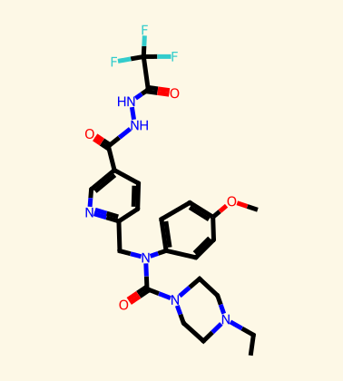 CCN1CCN(C(=O)N(Cc2ccc(C(=O)NNC(=O)C(F)(F)F)cn2)c2ccc(OC)cc2)CC1